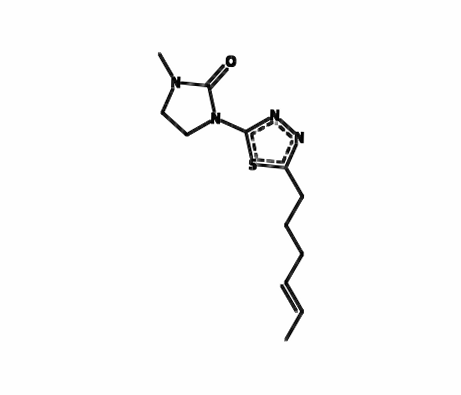 CC=CCCCc1nnc(N2CCN(C)C2=O)s1